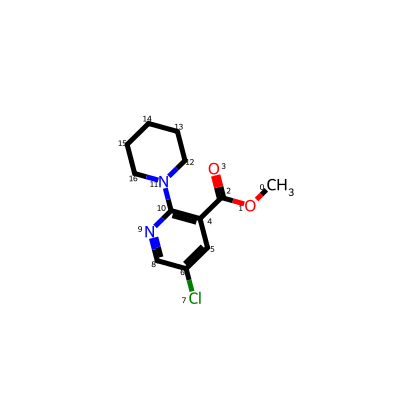 COC(=O)c1cc(Cl)cnc1N1CCCCC1